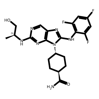 C[C@@H](CO)Nc1ncc2nc(Nc3c(F)cc(F)cc3F)n([C@H]3CC[C@H](C(N)=O)CC3)c2n1